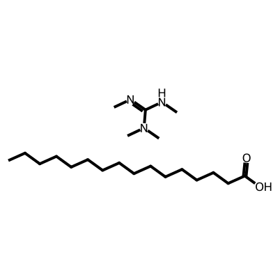 CCCCCCCCCCCCCCCC(=O)O.CN=C(NC)N(C)C